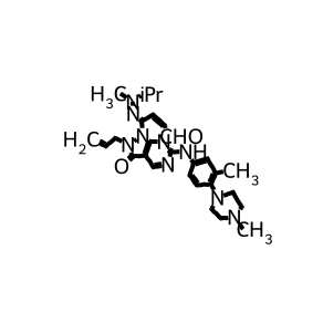 C=CCn1c(=O)c2cnc(Nc3ccc(N4CCN(C)CC4)c(C)c3)nc2n1C(/C=C\C=O)=N/N(C)C(C)C